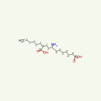 CCCCCCC(CCCCCCCCCC(=O)O)C(=O)O.N